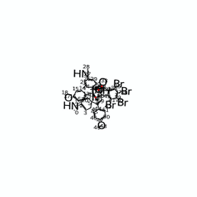 CNC1=CCC(NC)(C(=CC2(C=C(c3ccc(OC)cc3)C3(NC)C=CC(NC)=CC3)OC(=O)c3c(Br)c(Br)c(Br)c(Br)c32)c2ccc(OC)cc2)C=C1